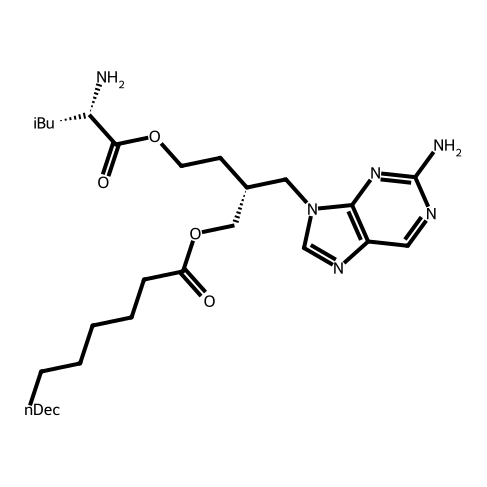 CCCCCCCCCCCCCCCC(=O)OC[C@H](CCOC(=O)[C@@H](N)[C@@H](C)CC)Cn1cnc2cnc(N)nc21